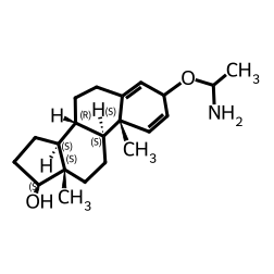 CC(N)OC1C=C[C@@]2(C)C(=C1)CC[C@H]1[C@@H]3CC[C@H](O)[C@@]3(C)CC[C@@H]12